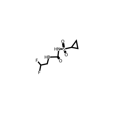 O=C(BCC(F)F)NS(=O)(=O)C1CC1